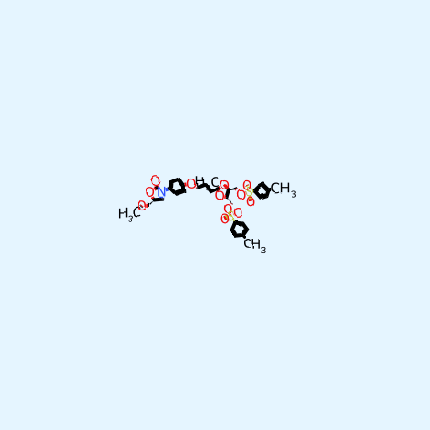 COC[C@H]1CN(c2ccc(OCCCC3(C)O[C@@H](COS(=O)(=O)c4ccc(C)cc4)[C@H](COS(=O)(=O)c4ccc(C)cc4)O3)cc2)C(=O)O1